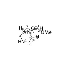 COCC1C[C@@H]2CNC[C@H]1N2C(=O)O